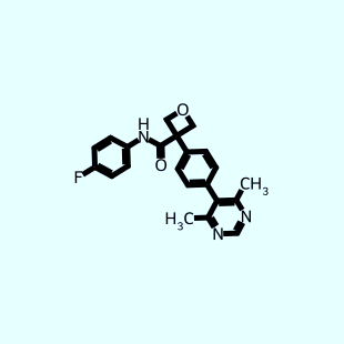 Cc1ncnc(C)c1-c1ccc(C2(C(=O)Nc3ccc(F)cc3)COC2)cc1